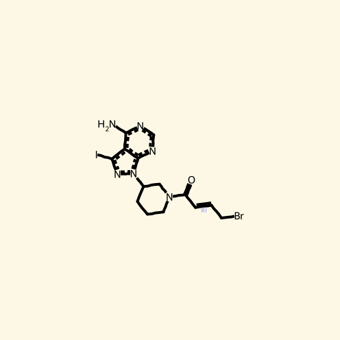 Nc1ncnc2c1c(I)nn2C1CCCN(C(=O)/C=C/CBr)C1